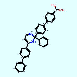 OB(O)c1ccc(-c2ccc(C3(c4ccccc4)N=CC=C(c4ccc(-c5ccccc5)cc4)N3)cc2)cc1